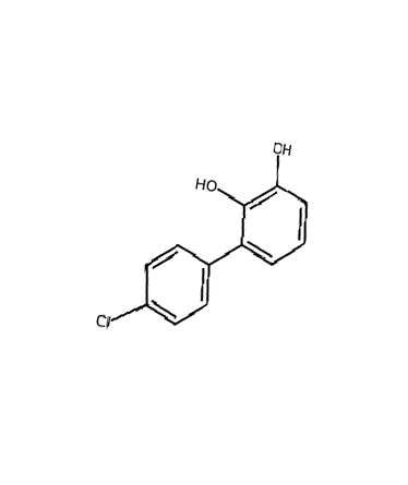 Oc1cccc(-c2ccc(Cl)cc2)c1O